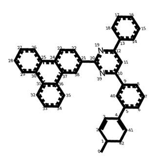 CC1C=CC(c2cccc(-c3cc(-c4ccccc4)nc(-c4ccc5c6ccccc6c6ccccc6c5c4)n3)c2)=CC1